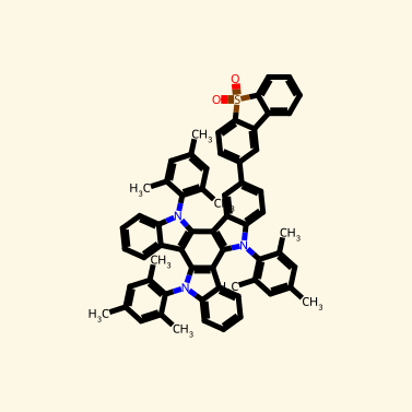 Cc1cc(C)c(-n2c3ccccc3c3c2c2c4ccccc4n(-c4c(C)cc(C)cc4C)c2c2c4cc(-c5ccc6c(c5)-c5ccccc5S6(=O)=O)ccc4n(-c4c(C)cc(C)cc4C)c32)c(C)c1